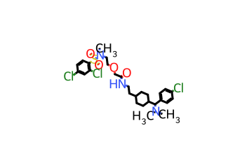 CN(C)C(c1ccc(Cl)cc1)C1CCC(CCNC(=O)COCCN(C)S(=O)(=O)c2ccc(Cl)cc2Cl)CC1